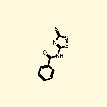 O=C(Nc1nc(=S)ss1)c1ccccc1